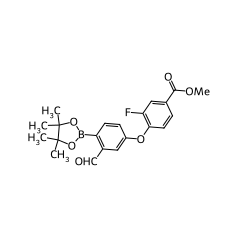 COC(=O)c1ccc(Oc2ccc(B3OC(C)(C)C(C)(C)O3)c(C=O)c2)c(F)c1